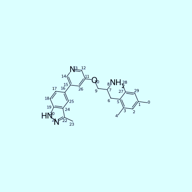 Cc1cc(C)c(CC(N)COc2cncc(-c3ccc4[nH]nc(C)c4c3)c2)c(C)c1